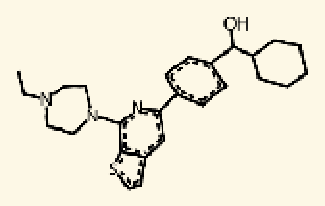 CCN1CCN(c2nc(-c3ccc(C(O)C4CCCCC4)cc3)cc3ccsc23)CC1